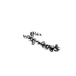 CCCCCC/C=C/[C@H]1[C@H](O)CC(=O)[C@@H]1CCCCCCC(=O)Oc1ccc(NC(=O)c2ccc(F)c(F)c2)cc1